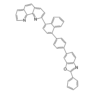 c1ccc(-c2nc3ccc(-c4ccc(-c5ccc(-c6ccc7ccc8cccnc8c7n6)c6ccccc56)cc4)cc3o2)cc1